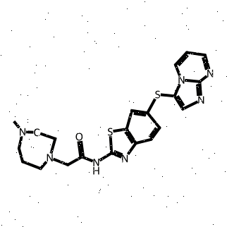 CN1CCCN(CC(=O)Nc2nc3ccc(Sc4cnc5ncccn45)cc3s2)CC1